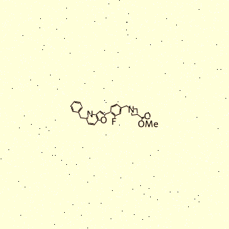 COC(=O)C1CN(Cc2ccc(-c3cc4nc(Cc5ccccc5)ccc4o3)c(F)c2)C1